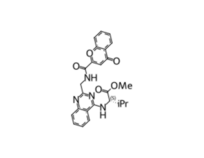 COC(=O)[C@@H](Nc1nc(CNC(=O)c2cc(=O)c3ccccc3o2)nc2ccccc12)C(C)C